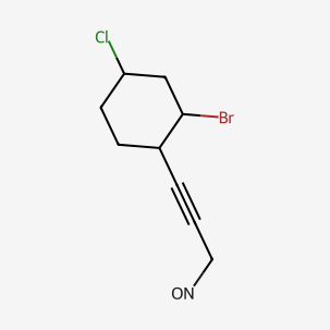 O=NCC#CC1CCC(Cl)CC1Br